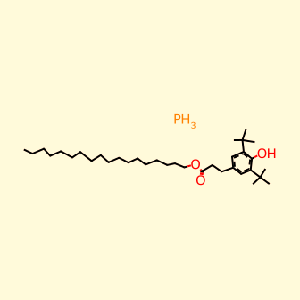 CCCCCCCCCCCCCCCCCCOC(=O)CCc1cc(C(C)(C)C)c(O)c(C(C)(C)C)c1.P